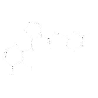 Cc1cccc(NC2=NCCN2C(=S)Nc2cccc(Cl)c2)c1Cl